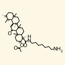 CC(=O)O[C@@H]1CC[C@@]2(C)C(CC[C@]3(C)C2C(=O)C=C2C4[C@@H](C)[C@H](C)CC[C@]4(C)CC[C@]23C)[C@@]1(C)C(=O)NCCCCCCCN